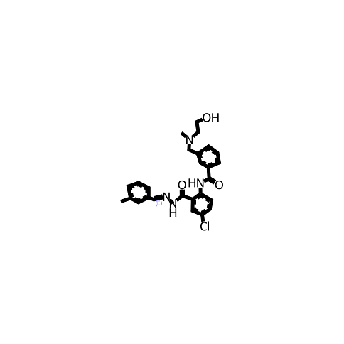 Cc1cccc(/C=N/NC(=O)c2cc(Cl)ccc2NC(=O)c2cccc(CN(C)CCO)c2)c1